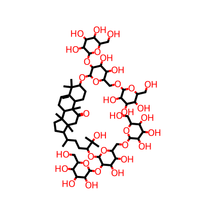 CC(CCC(OC1OC(COC2OC(CO)C(O)C(O)C2O)C(O)C(O)C1OC1OC(CO)C(O)C(O)C1O)C(C)(C)O)C1CCC2(C)C3CC=C4C(CCC(OC5OC(COC6OC(CO)C(O)C(O)C6O)C(O)C(O)C5OC5OC(CO)C(O)C(O)C5O)C4(C)C)C3(C)C(=O)CC12C